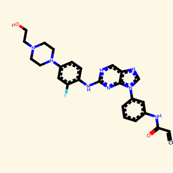 C=CC(=O)Nc1cccc(-n2cnc3cnc(Nc4ccc(N5CCN(CCO)CC5)cc4F)nc32)c1